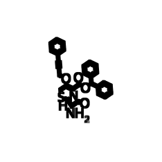 N[C@@H]1C(=O)N2C(C(=O)OC(c3ccccc3)c3ccccc3)=C(OCC#Cc3ccccc3)CS[C@@H]12